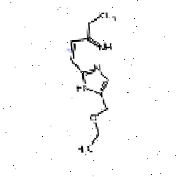 CCOCc1cnc(/C=C\C(=N)CC)[nH]1